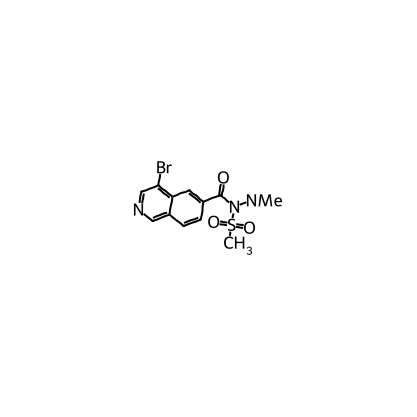 CNN(C(=O)c1ccc2cncc(Br)c2c1)S(C)(=O)=O